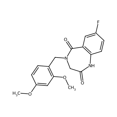 COc1ccc(CN2CC(=O)Nc3ccc(F)cc3C2=O)c(OC)c1